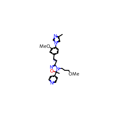 COCCCN1C(/C=C/c2ccc(-n3cnc(C)c3)c(OC)c2)=NOC1(C)c1ccncc1